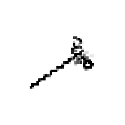 CCCCCCCCCCCCCCCC(=O)C(CN1CCOCC1)C(N)(O)c1ccccc1